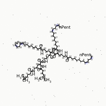 CCCCC/C=C\C/C=C\CCCCCCCC(=O)NCCCC(NC(=O)CCCCCCC/C=C\C/C=C\CCCCC)C(=O)NC(CCCNC(=O)CCCCCCC/C=C\C/C=C\CCCCC)C(=O)OCCNC(=O)C(CCCNC(=O)CCCN(C)C)NC(=O)CCCN(C)C